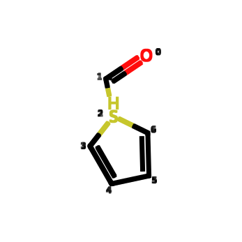 O=[C][SH]1C=CC=C1